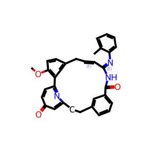 COc1ccc2cc1-c1ccc(=O)cc(n1)CCc1cccc(c1)C(=O)NC(=N/c1ccccc1C)/C=C/C2